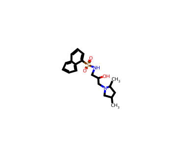 CC1CC(C)N(CC(O)CNS(=O)(=O)c2cccc3ccccc23)C1